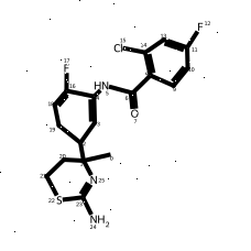 CC1(C2C=C(NC(=O)c3ccc(F)cc3Cl)C(F)=CC2)CCSC(N)=N1